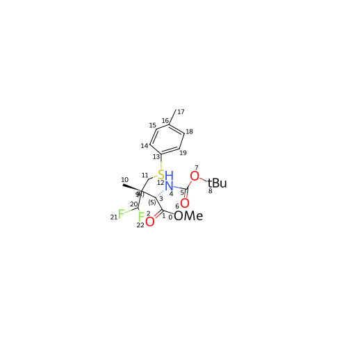 COC(=O)[C@@H](NC(=O)OC(C)(C)C)[C@@](C)(CSc1ccc(C)cc1)C(F)F